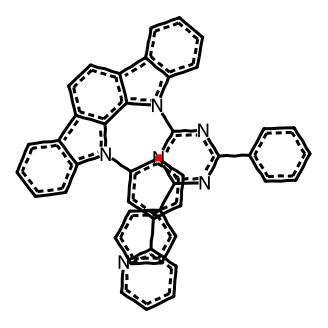 c1ccc(-c2nc(-c3ccccc3)nc(-n3c4ccccc4c4ccc5c6ccccc6n(-c6cccc(-c7ccccn7)c6)c5c43)n2)cc1